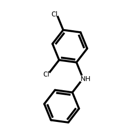 Clc1ccc(Nc2ccccc2)c(Cl)c1